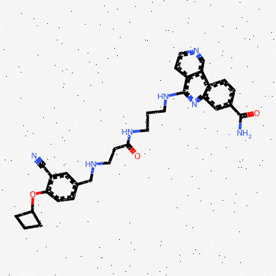 N#Cc1cc(CNCCC(=O)NCCCNc2nc3cc(C(N)=O)ccc3c3cnccc23)ccc1OC1CCC1